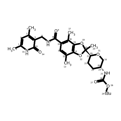 Cc1cc(C)c(CNC(=O)c2cc(C)c3c(c2C)OC(C)([C@@H]2CC[C@@H](NC(=O)OC(C)(C)C)CO2)O3)c(=O)[nH]1